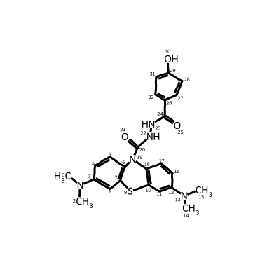 CN(C)c1ccc2c(c1)Sc1cc(N(C)C)ccc1N2C(=O)NNC(=O)c1ccc(O)cc1